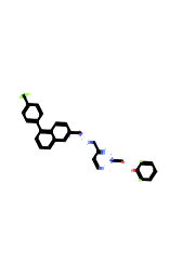 O=C(NCc1ccnc(COc2c(F)cccc2F)n1)c1ccc2c(-c3ccc(C(F)(F)F)cc3)cccc2c1